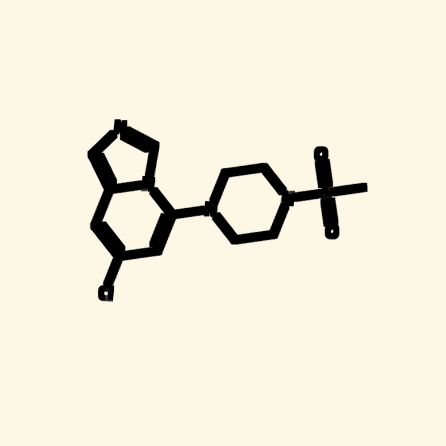 CS(=O)(=O)N1CCN(c2cc(Cl)cc3cncn23)CC1